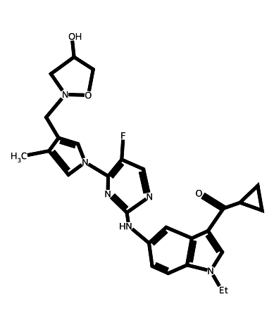 CCn1cc(C(=O)C2CC2)c2cc(Nc3ncc(F)c(-n4cc(C)c(CN5CC(O)CO5)c4)n3)ccc21